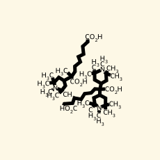 CN1C(C)(C)CC(C(C)(CCCCCCCC(=O)O)C(=O)O)CC1(C)C.CN1C(C)(C)CC(C(CCCCCCCC(=O)O)(C(=O)O)C2CC(C)(C)N(C)C(C)(C)C2)CC1(C)C